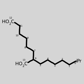 CC(C)CCCCCC(CCCCCC(=O)O)C(=O)O